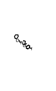 CC1(Oc2ccc(I)cc2)CCN(CCOC2CCCCC2)C1